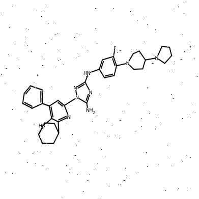 Nc1nc(Nc2ccc(N3CCC(N4CCCC4)CC3)c(F)c2)nn1-c1cc(-c2ccccc2)c2c(n1)C1CCC(B2)CC1